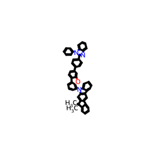 CC1(C)c2ccccc2-c2cc3c4ccccc4n(-c4cccc5c4oc4cc(-c6ccc(-c7nc8ccccc8n7-c7ccccc7)cc6)ccc45)c3cc21